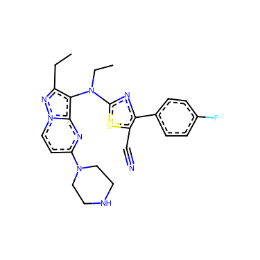 CCc1nn2ccc(N3CCNCC3)nc2c1N(CC)c1nc(-c2ccc(F)cc2)c(C#N)s1